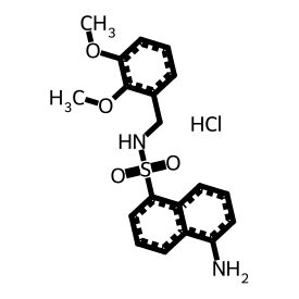 COc1cccc(CNS(=O)(=O)c2cccc3c(N)cccc23)c1OC.Cl